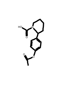 CC(=O)Oc1ccc(C2CCCCN2C(=O)O)cc1